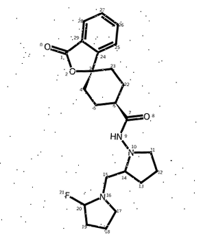 O=C1O[C@]2(CC[C@H](C(=O)NN3CCCC3CN3CCCC3F)CC2)c2ccccc21